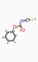 O=C(N=C=S)Oc1ccccc1